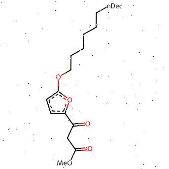 CCCCCCCCCCCCCCCCOc1ccc(C(=O)CC(=O)OC)o1